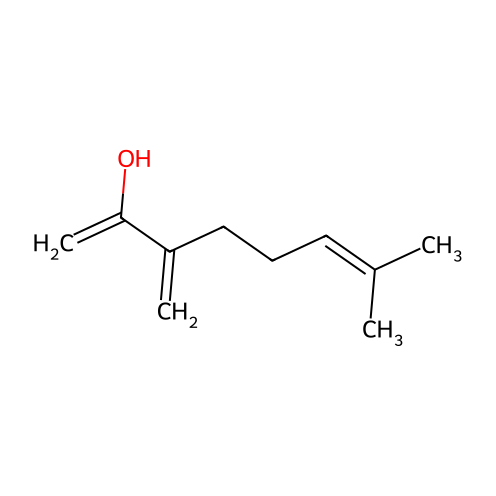 C=C(O)C(=C)CCC=C(C)C